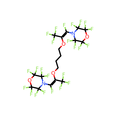 F/C(=C(/OCCCCO/C(=C(/F)N1C(F)(F)C(F)(F)OC(F)(F)C1(F)F)C(F)(F)F)C(F)(F)F)N1C(F)(F)C(F)(F)OC(F)(F)C1(F)F